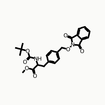 COC(=O)C(Cc1ccc(CON2C(=O)c3ccccc3C2=O)cc1)NC(=O)OC(C)(C)C